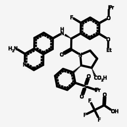 CCOc1cc([C@@H](Nc2ccc3c(N)nccc3c2)C(=O)N2CC[C@H](C(=O)O)[C@@H]2c2ccccc2S(=O)(=O)C(C)C)c(F)cc1OC(C)C.O=C(O)C(F)(F)F